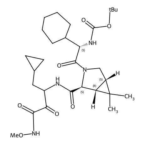 CONC(=O)C(=O)C(CC1CC1)NC(=O)[C@@H]1[C@@H]2[C@H](CN1C(=O)[C@@H](NC(=O)OC(C)(C)C)C1CCCCC1)C2(C)C